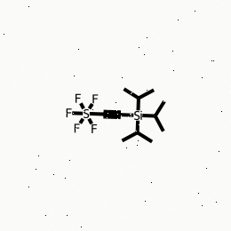 CC(C)[Si](C#CS(F)(F)(F)(F)F)(C(C)C)C(C)C